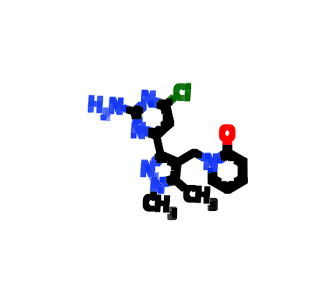 Cc1c(Cn2ccccc2=O)c(-c2cc(Cl)nc(N)n2)nn1C